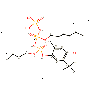 CCCCCCOP(=O)(OP(=O)(O)O)OP(=O)(OCCCC)Oc1cc(C(C)(C)C)c(O)cc1C